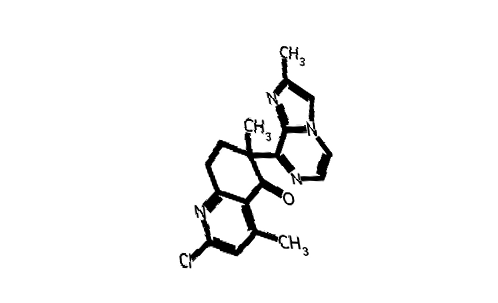 Cc1cn2ccnc(C3(C)CCc4nc(Cl)cc(C)c4C3=O)c2n1